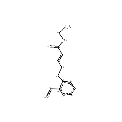 CCOC(=O)/C=C/CCc1ccccc1C=O